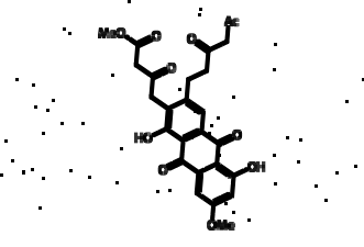 COC(=O)CC(=O)Cc1c(CCC(=O)CC(C)=O)cc2c(c1O)C(=O)c1cc(OC)cc(O)c1C2=O